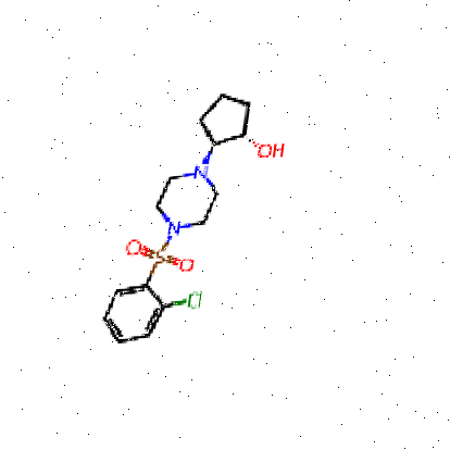 O=S(=O)(c1ccccc1Cl)N1CCN([C@H]2CCC[C@@H]2O)CC1